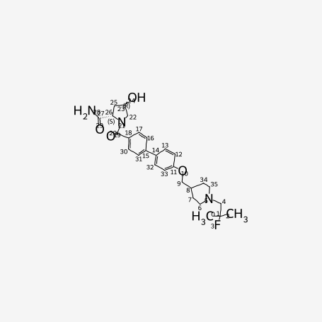 CC(C)(F)CN1CCC(COc2ccc(-c3ccc(C(=O)N4C[C@H](O)C[C@H]4C(N)=O)cc3)cc2)CC1